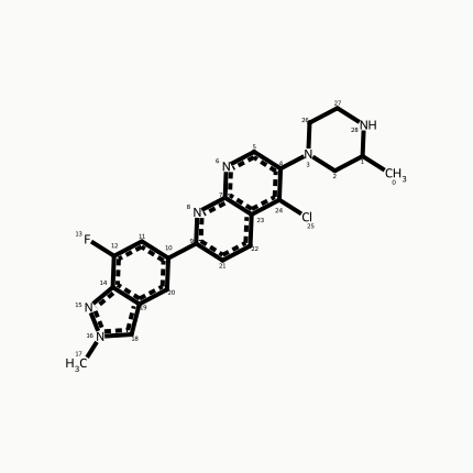 CC1CN(c2cnc3nc(-c4cc(F)c5nn(C)cc5c4)ccc3c2Cl)CCN1